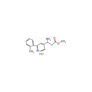 COC(=O)CC(N)c1ccnc(-c2ccccc2C)c1.Cl